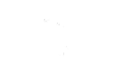 CC1(C)CCC(C=N)=C(N)C1